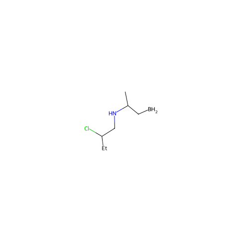 BCC(C)NCC(Cl)CC